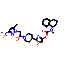 Cc1cc(C(F)(F)F)nn1CC(=O)N1CCC(c2nc(OC(=O)N(C)[C@@H]3CCCc4ccccc43)cs2)CC1